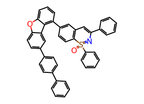 O=S1(c2ccccc2)=NC(c2ccccc2)=Cc2cc(-c3cccc4oc5ccc(-c6ccc(-c7ccccc7)cc6)cc5c34)ccc21